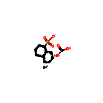 O=S(=O)([O-])c1cccc2ccccc12.O=[Si](O)O.[Na+]